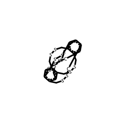 C1SSCc2c3c4c5c6c2CSSCc2c1c(c(c(c2CSSC6)CSSC5)CSSC4)CSSC3